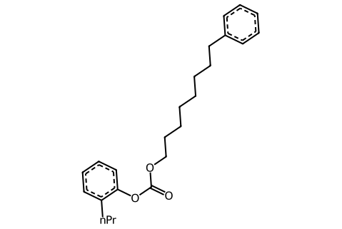 CCCc1ccccc1OC(=O)OCCCCCCCCc1ccccc1